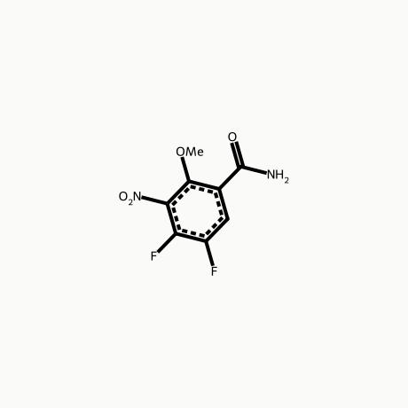 COc1c(C(N)=O)cc(F)c(F)c1[N+](=O)[O-]